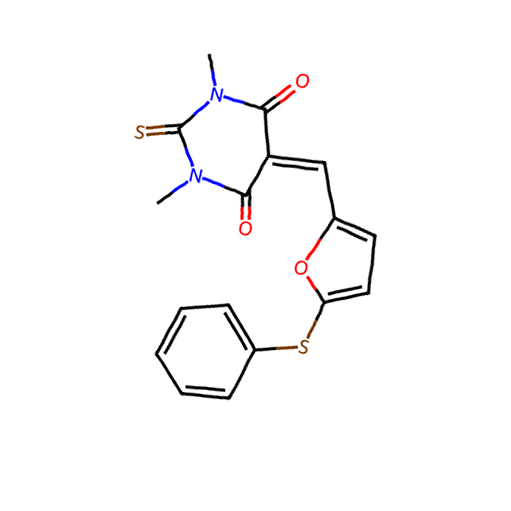 CN1C(=O)C(=Cc2ccc(Sc3ccccc3)o2)C(=O)N(C)C1=S